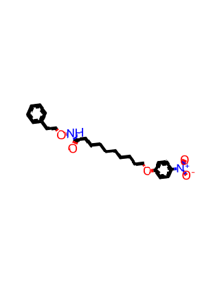 O=C(CCCCCCCCCOc1ccc([N+](=O)[O-])cc1)NOCCc1ccccc1